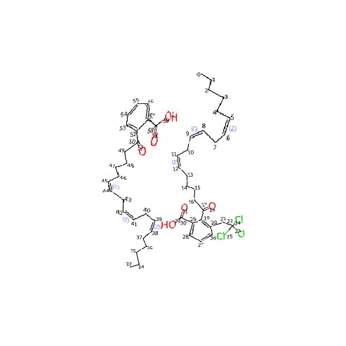 CCCCC/C=C\C/C=C\C/C=C\CCCCC(=O)c1c(CC(Cl)(Cl)Cl)cccc1C(=O)O.CCCCC/C=C\C/C=C\C/C=C\CCCCC(=O)c1ccccc1C(=O)O